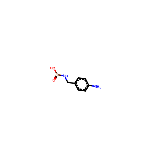 Nc1ccc(CNS(=O)O)cc1